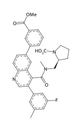 COC(=O)c1cccc(-c2ccc3ncc(-c4cc(C)cc(F)c4)c(C(=O)N(C)C[C@@H]4CCCN4C(=O)O)c3c2)c1